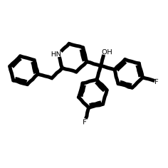 OC(C1=CCNC(Cc2ccccc2)C1)(c1ccc(F)cc1)c1ccc(F)cc1